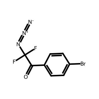 [N-]=[N+]=NC(F)(F)C(=O)c1ccc(Br)cc1